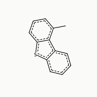 Cc1cccc2sc3ccccc3c12